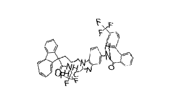 Cc1nc2cc(NC(=O)c3ccccc3-c3ccc(C(F)(F)F)cc3)ccc2n1CCCC1(C(=O)NCC(F)(F)F)c2ccccc2-c2ccccc21